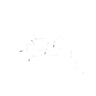 CC(C)C(C)/C=C/[C@@H](C)[C@H]1CC[C@H]2[C@@H]3CC(=O)[C@H]4C[C@H](O)[C@H](O)C[C@]4(C)[C@H]3CC[C@]12C